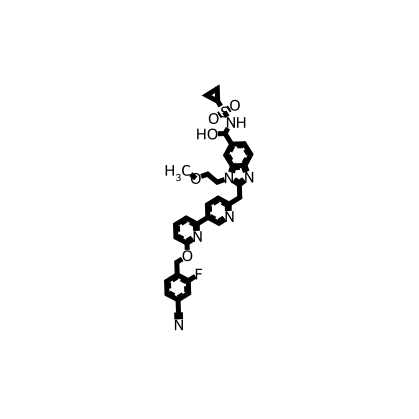 COCCn1c(Cc2ccc(-c3cccc(OCc4ccc(C#N)cc4F)n3)cn2)nc2ccc(C(O)NS(=O)(=O)C3CC3)cc21